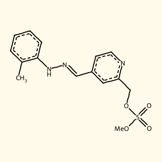 COS(=O)(=O)OCc1cc(C=NNc2ccccc2C)ccn1